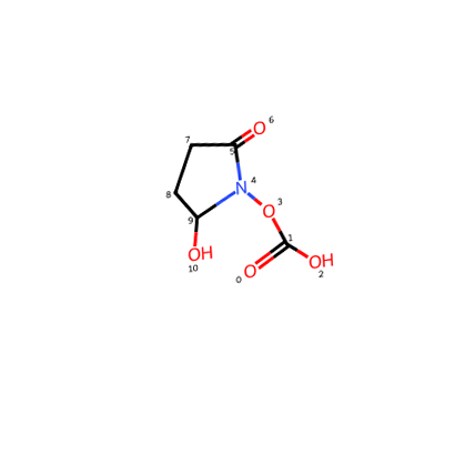 O=C(O)ON1C(=O)CCC1O